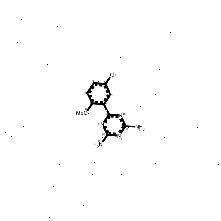 COc1ccc(Cl)cc1-c1nc(N)nc(N)n1